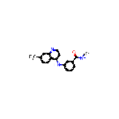 CC(C)NC(=O)c1cccc(Nc2ccnc3cc(C(F)(F)F)ccc23)c1